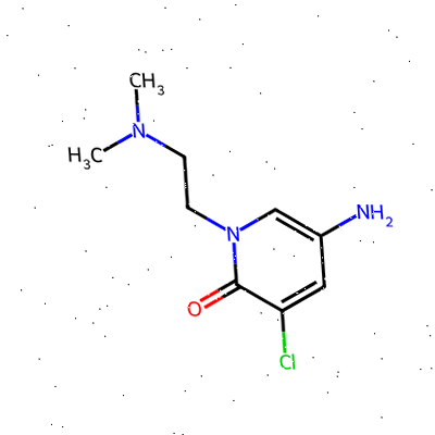 CN(C)CCn1cc(N)cc(Cl)c1=O